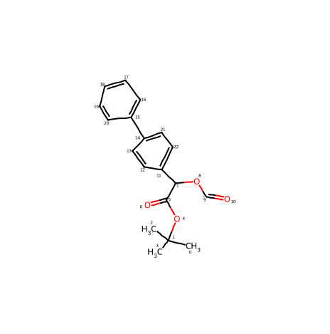 CC(C)(C)OC(=O)C(O[C]=O)c1ccc(-c2ccccc2)cc1